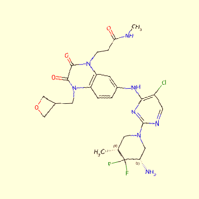 CNC(=O)CCn1c(=O)c(=O)n(CC2COC2)c2ccc(Nc3nc(N4C[C@@H](C)C(F)(F)[C@@H](N)C4)ncc3Cl)cc21